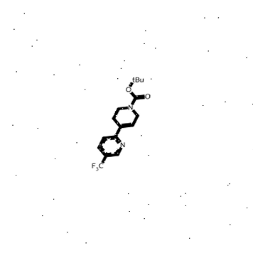 CC(C)(C)OC(=O)N1CC=C(c2ccc(C(F)(F)F)cn2)CC1